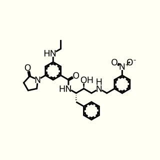 CCNc1cc(C(=O)N[C@@H](Cc2ccccc2)[C@@H](O)CNCc2cccc([N+](=O)[O-])c2)cc(N2CCCC2=O)c1